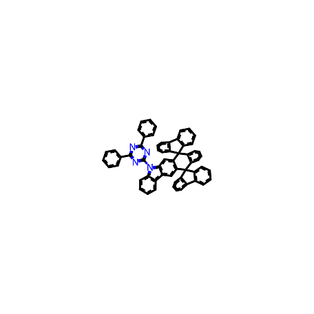 c1ccc(-c2nc(-c3ccccc3)nc(-n3c4ccccc4c4cc5c(cc43)C3(c4ccccc4-c4ccccc43)c3ccccc3C53c4ccccc4-c4ccccc43)n2)cc1